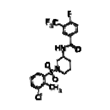 Cc1c(Cl)cccc1S(=O)(=O)N1CCCC(NC(=O)c2ccc(F)c(C(F)(F)F)c2)C1